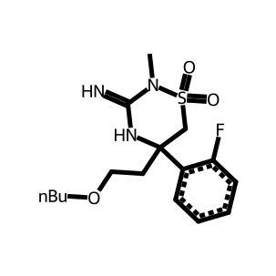 CCCCOCCC1(c2ccccc2F)CS(=O)(=O)N(C)C(=N)N1